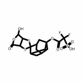 O=C1OC(O)C2SC3(SC12)C1CC2CC3CC(OC(=O)C(F)(F)S(=O)(=O)O)(C2)C1